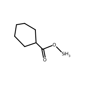 O=C(O[SiH3])C1CCCCC1